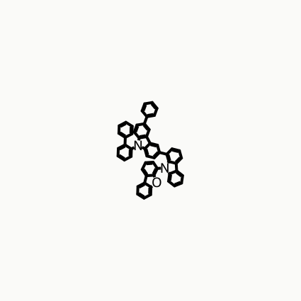 c1ccc(-c2ccc3c(c2)c2cc(-c4cccc5c6ccccc6n(-c6cccc7c6oc6ccccc67)c45)ccc2n3-c2ccccc2-c2ccccc2)cc1